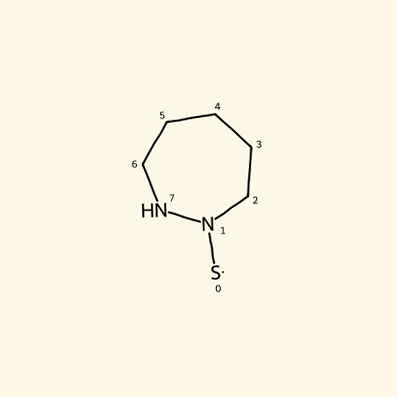 [S]N1CCCCCN1